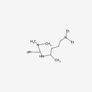 CCCC(NC(C)CCCN(CC)CC)N(C)C